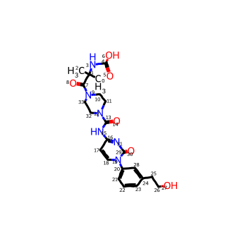 CC(C)(NC(=O)O)C(=O)N1CCN(C(=O)Nc2ccn(-c3cccc(CCO)c3)c(=O)n2)CC1